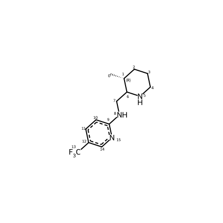 C[C@@H]1CCCNC1CNc1ccc(C(F)(F)F)cn1